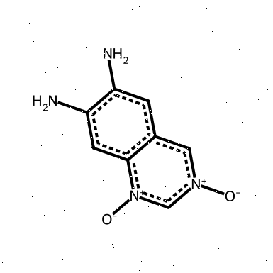 Nc1cc2c[n+]([O-])c[n+]([O-])c2cc1N